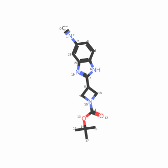 [C-]#[N+]c1ccc2[nH]c(C3CN(C(=O)OC(C)(C)C)C3)nc2c1